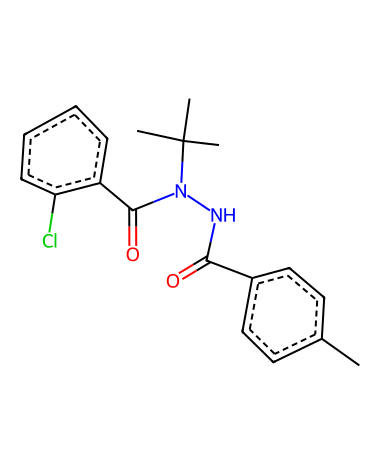 Cc1ccc(C(=O)NN(C(=O)c2ccccc2Cl)C(C)(C)C)cc1